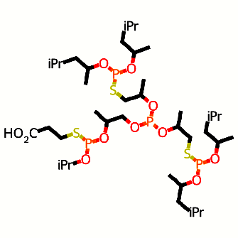 CC(C)CC(C)OP(OC(C)CC(C)C)SCC(C)OP(OCC(C)OP(OC(C)C)SCCC(=O)O)OC(C)CSP(OC(C)CC(C)C)OC(C)CC(C)C